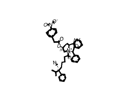 CC(C)[C@@](C#N)(CCCCC(=O)[N@@+]1(C(c2ccccc2)c2ccccc2)C[C@@H](OC(=O)Cc2ccc([N+](=O)[O-])cc2)CC1C(N)=O)c1ccccc1